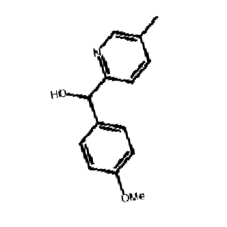 COc1ccc(C(O)c2ccc(C)cn2)cc1